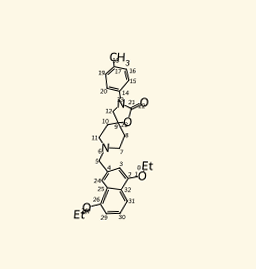 CCOc1cc(CN2CCC3(CC2)CN(c2ccc(C)cc2)C(=O)O3)cc2c(OCC)cccc12